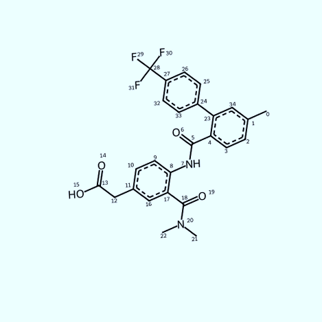 Cc1ccc(C(=O)Nc2ccc(CC(=O)O)cc2C(=O)N(C)C)c(-c2ccc(C(F)(F)F)cc2)c1